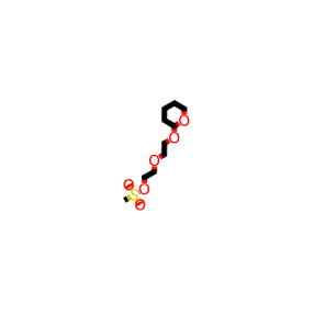 CS(=O)(=O)OCCOCCOC1CCCCO1